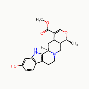 COC(=O)C1=CO[C@@H](C)C2CN3CCc4c([nH]c5cc(O)ccc45)[C@H]3CC12